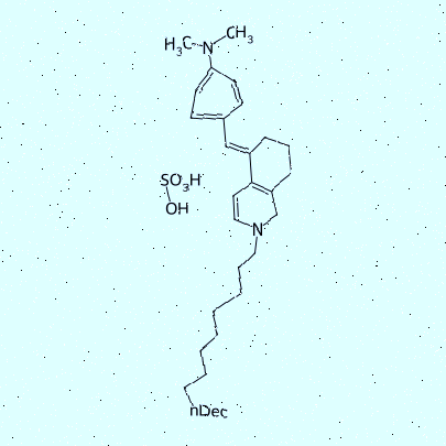 CCCCCCCCCCCCCCCCCCN1C=CC2=C(CCCC2=Cc2ccc(N(C)C)cc2)C1.O=S(=O)(O)O